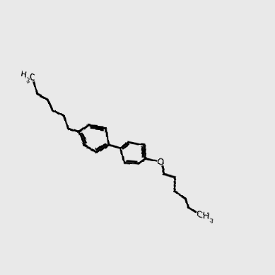 CCCCCCOc1ccc(-c2ccc(CCCCCC)cc2)cc1